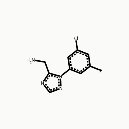 NCc1ncnn1-c1cc(F)cc(Cl)c1